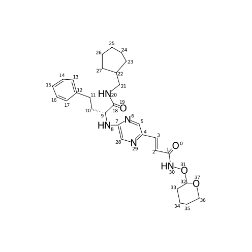 O=C(/C=C/c1cnc(N[C@H](CCc2ccccc2)C(=O)NCC2CCCCC2)cn1)NOC1CCCCO1